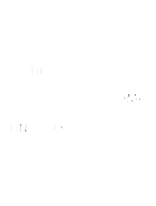 COC/C=C/c1cccc2c1OCCNC2.Cl